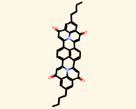 CCCCc1cc2c(=O)cc3c4ccc5c6c(ccc(c46)c4cc(=O)c(c1)c2n34)c1cc(=O)c2cc(CCCC)cc3c(=O)cc5n1c32